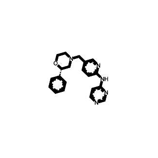 c1ccc([C@H]2CN(Cc3ccc(Nc4ccncn4)nc3)CCO2)cc1